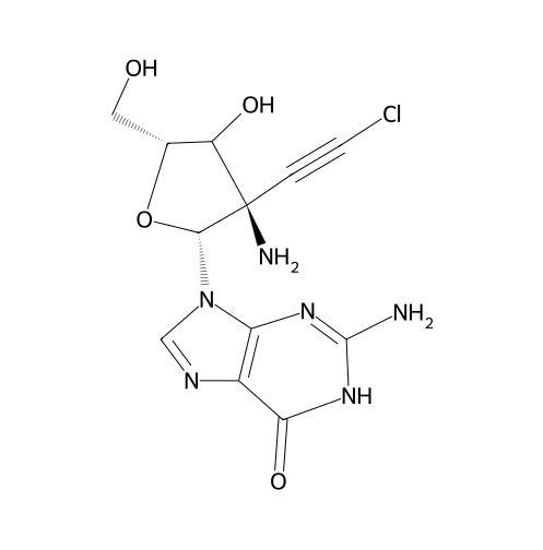 Nc1nc2c(ncn2[C@@H]2O[C@H](CO)C(O)[C@]2(N)C#CCl)c(=O)[nH]1